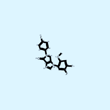 COc1cc(F)c(F)cc1-n1cnc2c1CN(c1ccc(F)cc1)C2=O